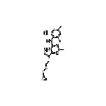 Cc1cc(C)c(Nc2nc(C)nc3c(CCCCC4CC4)cnn23)c(Cl)c1